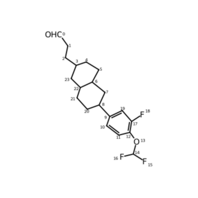 O=CCCC1CCC2CC(c3ccc(OC(F)F)c(F)c3)CCC2C1